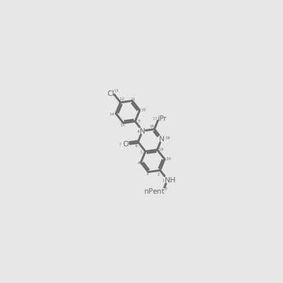 CCCCCNc1ccc2c(=O)n(-c3ccc(Cl)cc3)c(C(C)C)nc2c1